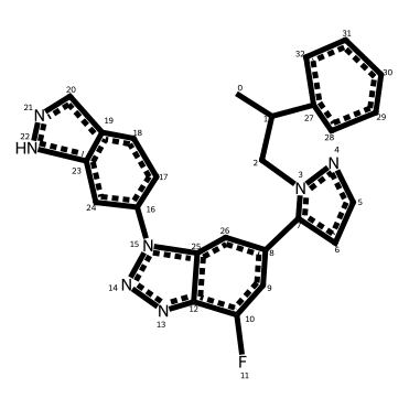 CC(Cn1nccc1-c1cc(F)c2nnn(-c3ccc4cn[nH]c4c3)c2c1)c1ccccc1